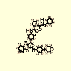 O=C(Nc1ccc(C2S/C(=N\c3ccc(N4CCOCC4)cc3)N(Cc3ccccn3)C2=O)cc1)[C@@H]1CCCN1C(=S)NCc1ccccc1